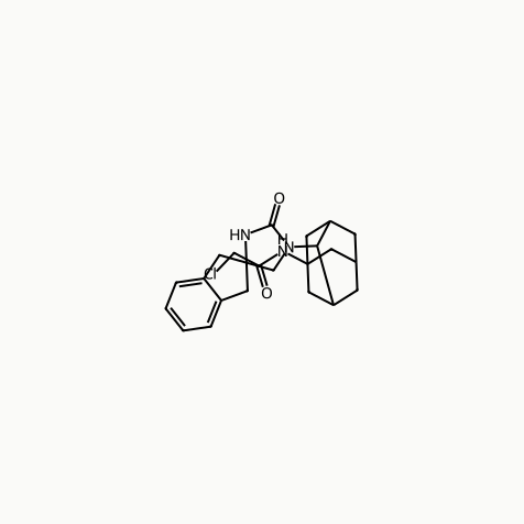 O=C(CCl)NC12CC3CC(C1)C(N1CC4(Cc5ccccc5C4)NC1=O)C(C3)C2